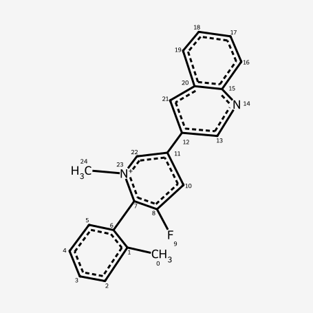 Cc1ccccc1-c1c(F)cc(-c2cnc3ccccc3c2)c[n+]1C